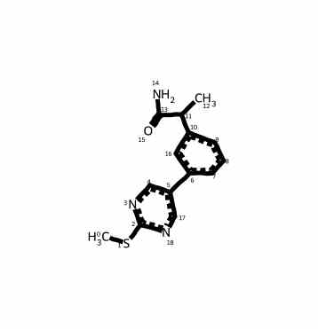 CSc1ncc(-c2cccc(C(C)C(N)=O)c2)cn1